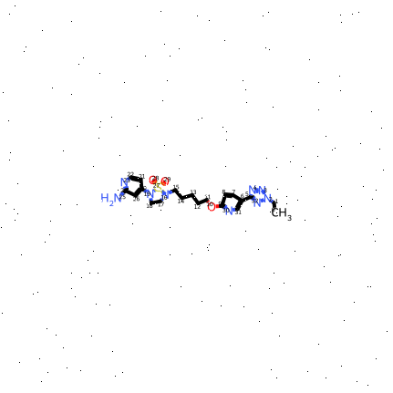 CCn1nnc(-c2ccc(OCCCCCN3CCN(c4ccnc(N)c4)S3(=O)=O)nc2)n1